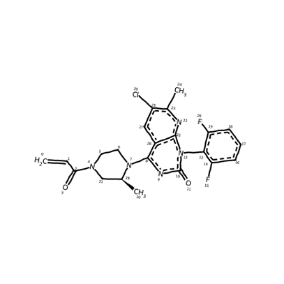 C=CC(=O)N1CCN(c2nc(=O)n(-c3c(F)cccc3F)c3nc(C)c(Cl)cc23)[C@@H](C)C1